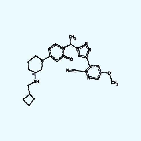 COc1cnc(C#N)c(-c2cn(C(C)n3ccc(N4CCC[C@@H](NCC5CCC5)C4)cc3=O)nn2)c1